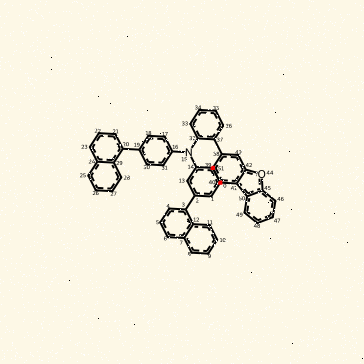 c1cc(-c2cccc3ccccc23)cc(N(c2ccc(-c3cccc4ccccc34)cc2)c2ccccc2-c2ccc3c(c2)oc2ccccc23)c1